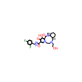 CN1C(=O)c2c(O)c(=O)c(C(=O)NCc3ccc(F)cc3F)cn2CCN(CCO)C[C@@H]2CCCC[C@@H]21